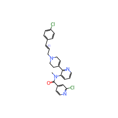 CN(C(=O)c1ccnc(Cl)c1)c1cccnc1C1=CCN(C/C=C/c2ccc(Cl)cc2)CC1